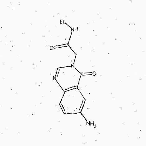 CCNC(=O)Cn1cnc2ccc(N)cc2c1=O